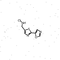 ClNCc1cnc(-c2cnco2)s1